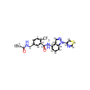 CC(C)(C)C(=O)NCc1ccc(C(F)(F)F)c(C(=O)Nc2cccc3c2cnn3-c2cscn2)c1